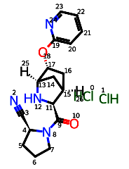 Cl.Cl.N#C[C@@H]1CCCN1C(=O)[C@H]1N[C@@H]2C[C@H]1C[C@H]2Oc1ccccn1